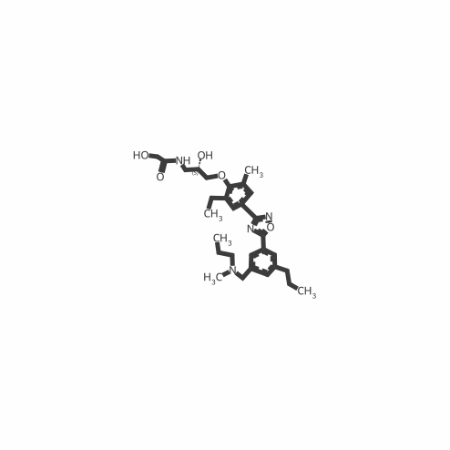 CCCc1cc(CN(C)CCC)cc(-c2nc(-c3cc(C)c(OC[C@@H](O)CNC(=O)CO)c(CC)c3)no2)c1